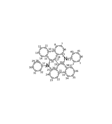 c1ccc(-n2c3cccc4c5ccccc5c5c(c43)-c3c4c(cccc4n5-c4ccccc4)c4ccccc4c32)cc1